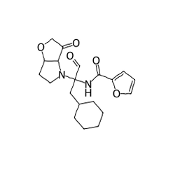 O=CC(CC1CCCCC1)(NC(=O)c1ccco1)N1CCC2OCC(=O)C21